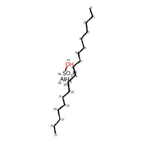 CCCCCCCCCCCCCCCCCC.O=S(=O)(O)O.[AlH3]